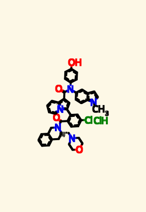 Cl.Cn1ccc2cc(N(C(=O)c3cc(-c4cc(Cl)ccc4C(=O)N4Cc5ccccc5C[C@H]4CN4CCOCC4)n4ccccc34)c3ccc(O)cc3)ccc21